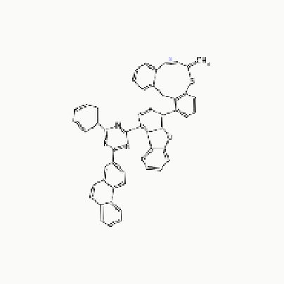 C=C1/C=C\c2ccccc2Cc2c(cccc2-c2ccc(-c3nc(-c4ccccc4)nc(-c4ccc5c(ccc6ccccc65)c4)n3)c3c2oc2ccccc23)S1